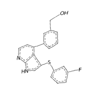 OCc1cccc(-c2ccnc3[nH]cc(Sc4cccc(F)c4)c23)c1